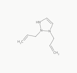 C=CCN1C=CNN1CC=C